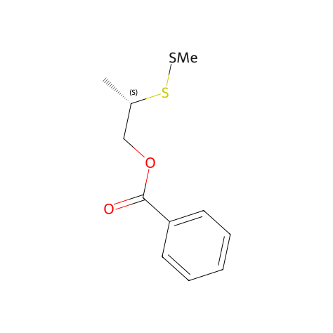 CSS[C@@H](C)COC(=O)c1ccccc1